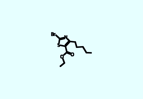 CCCCCc1nc(Br)sc1C(=O)OCC